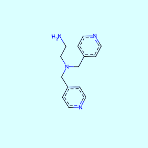 NCCN(Cc1ccncc1)Cc1ccncc1